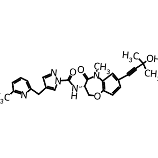 CN1C(=O)[C@@H](NC(=O)n2cc(Cc3cccc(C(F)(F)F)n3)cn2)COc2ccc(C#CC(C)(C)O)cc21